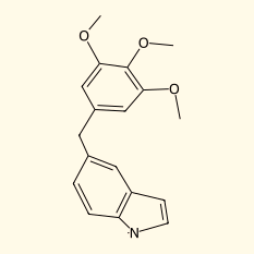 COc1cc(Cc2ccc3c(c2)C=C[N]3)cc(OC)c1OC